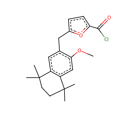 COc1cc2c(cc1Cc1ccc(C(=O)Cl)o1)C(C)(C)CCC2(C)C